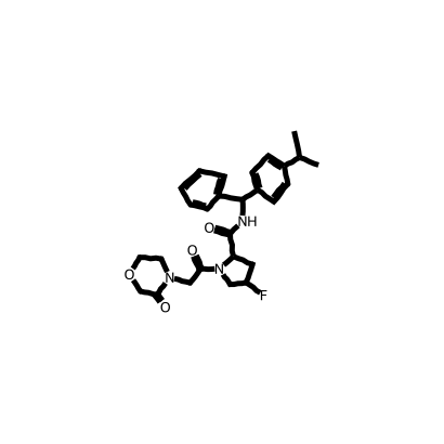 CC(C)c1ccc(C(NC(=O)C2CC(F)CN2C(=O)CN2CCOCC2=O)c2ccccc2)cc1